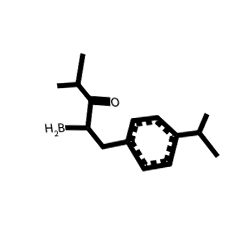 BC(Cc1ccc(C(C)C)cc1)C(=O)C(C)C